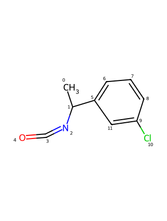 CC(N=C=O)c1cccc(Cl)c1